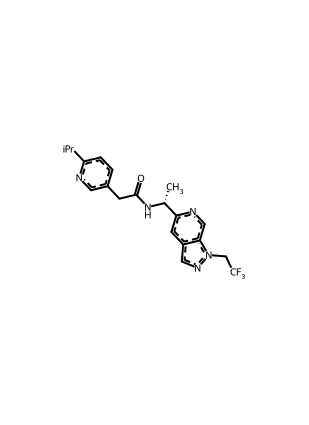 CC(C)c1ccc(CC(=O)N[C@H](C)c2cc3cnn(CC(F)(F)F)c3cn2)cn1